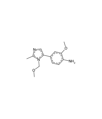 COCn1c(-c2ccc(N)c(OC)c2)cnc1C